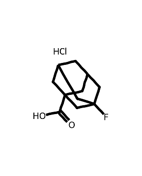 Cl.O=C(O)C12CC3CC(CC(F)(C3)C1)C2